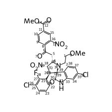 COCCN1[C@@H](CC(=O)c2ccc(C(=O)OC)cc2[N+](=O)[O-])[C@@H]([N+](=O)[O-])[C@H](c2cccc(Cl)c2F)[C@]12C(=O)Nc1cc(Cl)ccc12